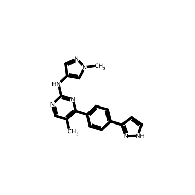 Cc1cnc(Nc2cnn(C)c2)nc1-c1ccc(-c2cc[nH]n2)cc1